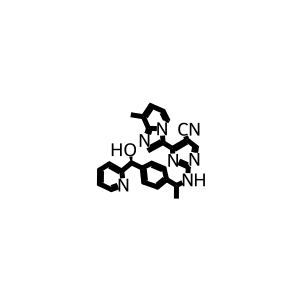 Cc1cccn2c(-c3nc(NC(C)c4ccc([C@H](O)c5ccccn5)cc4)ncc3C#N)cnc12